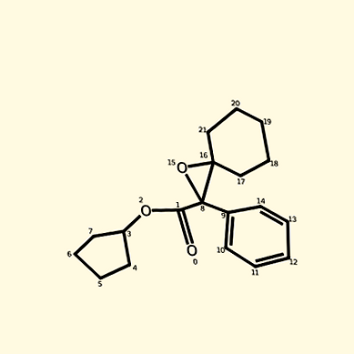 O=C(OC1CCCC1)C1(c2ccccc2)OC12CCCCC2